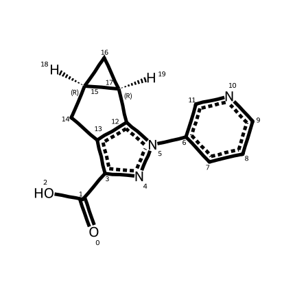 O=C(O)c1nn(-c2cccnc2)c2c1C[C@H]1C[C@@H]21